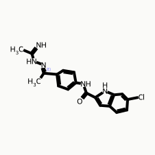 CC(=N)N/N=C(\C)c1ccc(NC(=O)c2cc3ccc(Cl)cc3[nH]2)cc1